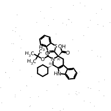 CC(C)(C)OC(=O)N1[C@@H](C2CCCCC2)c2[nH]c3ccccc3c2C[C@@]1(C(=O)O)c1nc2ccccc2s1